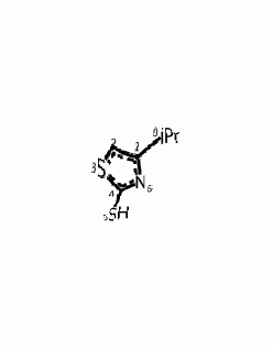 CC(C)c1csc(S)n1